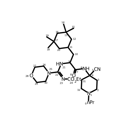 CCCN1CCC(C#N)(NC(=O)C(CC2CC(C)(C)CC(C)(C)C2)N/C(=N\C(=O)OCC)N2CCOCC2)CC1